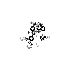 CCOc1cc(C(Nc2ccc(C(=N)N)cc2)C(=O)NNC(=O)c2ccccc2S(C)(=O)=O)ccc1OC(C)C.O=C(O)C(F)(F)F